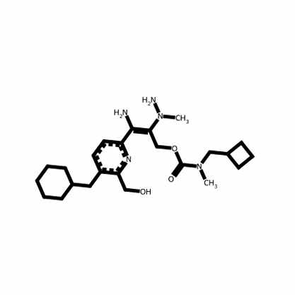 CN(CC1CCC1)C(=O)OC/C(=C(/N)c1ccc(CC2CCCCC2)c(CO)n1)N(C)N